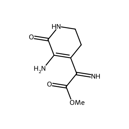 COC(=O)C(=N)C1=C(N)C(=O)NCC1